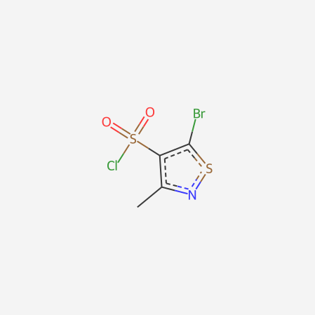 Cc1nsc(Br)c1S(=O)(=O)Cl